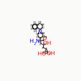 N[C@@](CCCCB(O)O)(C(=O)O)C1CCN(C2CCCc3ccccc32)CC1